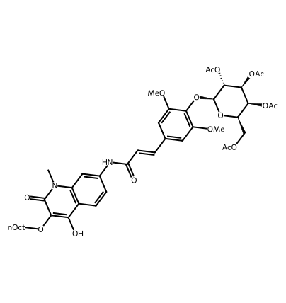 CCCCCCCCOc1c(O)c2ccc(NC(=O)C=Cc3cc(OC)c(O[C@@H]4O[C@H](COC(C)=O)[C@H](OC(C)=O)[C@H](OC(C)=O)[C@H]4OC(C)=O)c(OC)c3)cc2n(C)c1=O